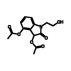 CC(=O)Oc1cccc2c1C(OC(C)=O)C(=O)N2CCO